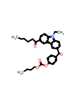 CCCCCC(=O)c1ccc2c(c1)c1cc(C(=O)c3ccc(OC(=O)OCCCC)cc3)ccc1n2CC